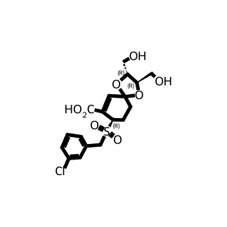 O=C(O)C1=CC2(CC[C@H]1S(=O)(=O)Cc1cccc(Cl)c1)O[C@H](CO)[C@@H](CO)O2